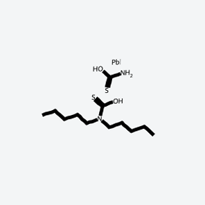 CCCCCN(CCCCC)C(O)=S.NC(O)=S.[Pb]